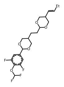 CC/C=C/C1COC(CCC2COC(c3cc(F)c(OC(F)F)c(F)c3)OC2)OC1